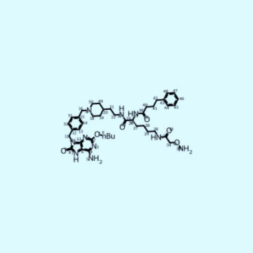 CCCCOc1nc(N)c2[nH]c(=O)n(Cc3ccc(CN4CCC(CCNC(=O)[C@H](CCCCNC(=O)CON)NC(=O)CCCc5ccccc5)CC4)cc3)c2n1